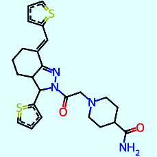 NC(=O)C1CCN(CC(=O)N2N=C3C(=Cc4cccs4)CCCC3C2c2cccs2)CC1